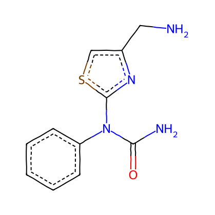 NCc1csc(N(C(N)=O)c2ccccc2)n1